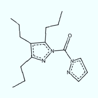 CCCc1nn(C(=O)n2cccn2)c(CCC)c1CCC